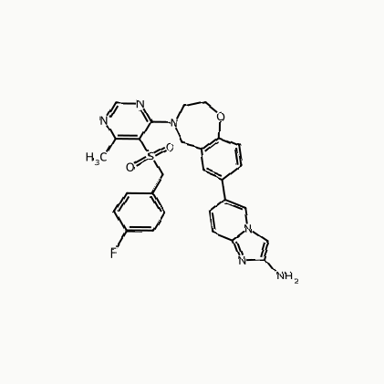 Cc1ncnc(N2CCOc3ccc(-c4ccc5nc(N)cn5c4)cc3C2)c1S(=O)(=O)Cc1ccc(F)cc1